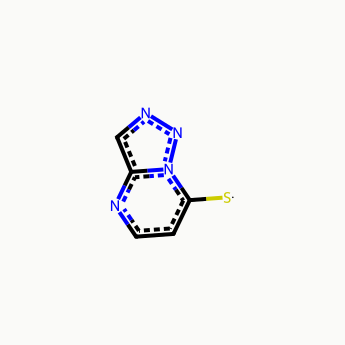 [S]c1ccnc2cnnn12